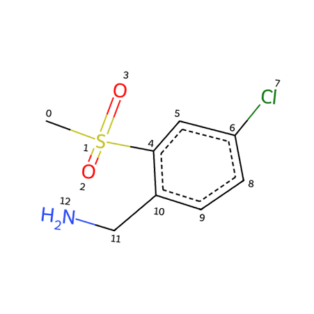 CS(=O)(=O)c1cc(Cl)ccc1CN